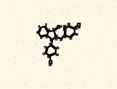 O=C1c2ccccc2C(c2ccc(Cl)cc2)N1Cc1ccc(Cl)cn1